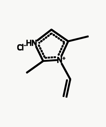 C=C[n+]1c(C)c[nH]c1C.[Cl-]